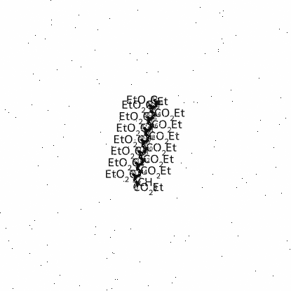 CCOC(=O)C(C)CC(CC(CC(CC(CC(CC(CC(CC(CC(CC(CC(CC(CC(CC(CC)C(=O)OCC)C(=O)OCC)C(=O)OCC)C(=O)OCC)C(=O)OCC)C(=O)OCC)C(=O)OCC)C(=O)OCC)C(=O)OCC)C(=O)OCC)C(=O)OCC)C(=O)OCC)C(=O)OCC)C(=O)OCC